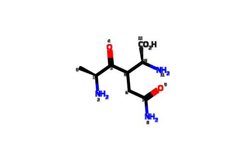 C[C@H](N)C(=O)C(CC(N)=O)[C@H](N)C(=O)O